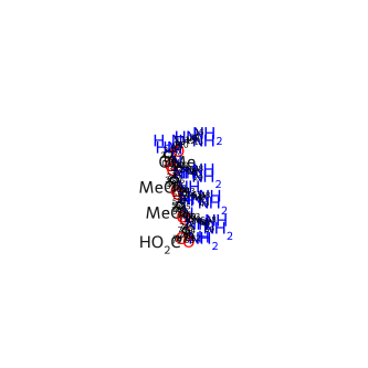 COc1ccc(NC(=O)[C@H](N)CCCNC(=N)N)cc1C(=O)N[C@H](CCCNC(=N)N)C(=O)Nc1ccc(OC)c(C(=O)N[C@H](CCCNC(=N)N)C(=O)Nc2ccc(OC)c(C(=O)N[C@H](CCCNC(=N)N)C(=O)Nc3ccc(OCC(=O)O)c(C(N)=O)c3)c2)c1